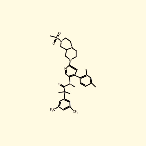 Cc1ccc(-c2cc(N3CCN4CCN(S(C)(=O)=O)CC4C3)ncc2N(C)C(=O)C(C)(C)c2cc(C(F)(F)F)cc(C(F)(F)F)c2)c(C)c1